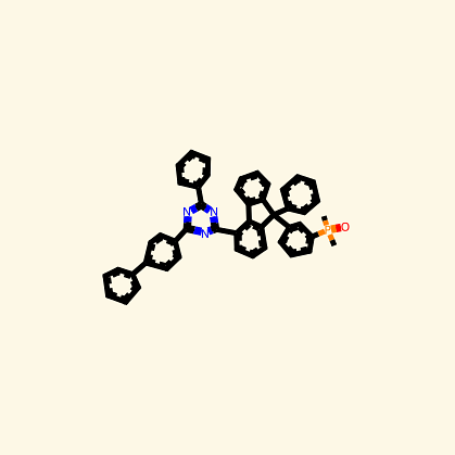 CP(C)(=O)c1cccc(C2(c3ccccc3)c3ccccc3-c3c(-c4nc(-c5ccccc5)nc(-c5ccc(-c6ccccc6)cc5)n4)cccc32)c1